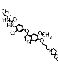 CCCNC(=O)Nc1ccc(Oc2ccnc3cc(OCCCN4CCC5(COC5)C4)c(OC)cc23)cc1Cl